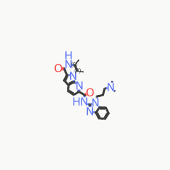 C[C@@H]1NC(=O)c2cc3ccc(C(=O)Nc4nc5ccccc5n4CCCN(C)C)nc3n2[C@@H]1C